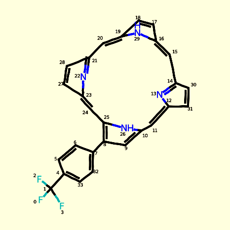 FC(F)(F)c1ccc(-c2cc3cc4nc(cc5ccc(cc6nc(cc2[nH]3)C=C6)[nH]5)C=C4)cc1